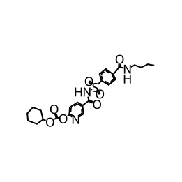 CCCCNC(=O)c1ccc(S(=O)(=O)NC(=O)c2ccc(OC(=O)OC3CCCCC3)nc2)cc1